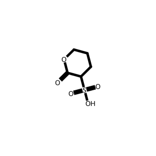 O=C1OCCCC1S(=O)(=O)O